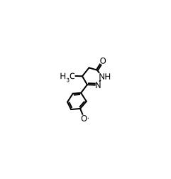 CC1CC(=O)NN=C1c1cccc([O])c1